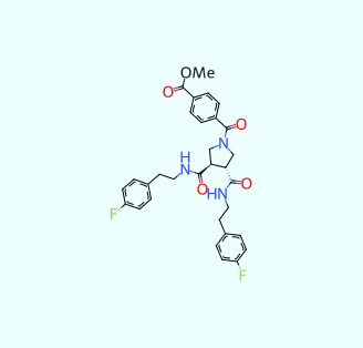 COC(=O)c1ccc(C(=O)N2C[C@H](C(=O)NCCc3ccc(F)cc3)[C@@H](C(=O)NCCc3ccc(F)cc3)C2)cc1